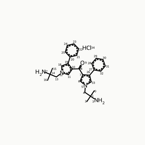 CC(C)(N)Cn1cc(C(=O)c2cn(CC(C)(C)N)cc2-c2ccccc2)c(-c2ccccc2)c1.Cl